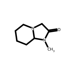 CN1C(=O)CN2CCCCC21